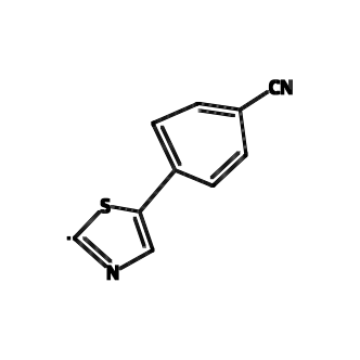 N#Cc1ccc(-c2cn[c]s2)cc1